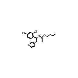 CCCCOC(=S)OC(Cn1ccnc1)c1ccc(Cl)cc1Cl